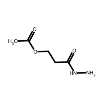 CC(=O)OCCC(=O)NN